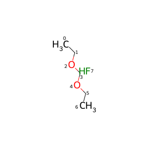 CCOCOCC.F